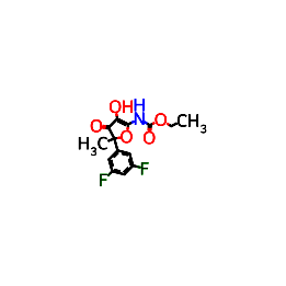 CCOC(=O)NC1=C(O)C(=O)C(C)(c2cc(F)cc(F)c2)O1